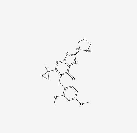 COc1ccc(Cn2c(C3(C)CC3)nc3sc([C@H]4CCCN4)nc3c2=O)c(OC)c1